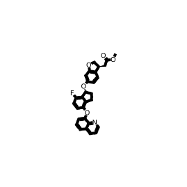 COC(=O)C[C@@H]1COc2cc(O[C@@H]3CCc4c(Oc5cccc6cccnc56)ccc(F)c43)ccc21